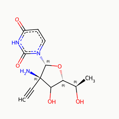 C#C[C@@]1(N)C(O)[C@@H]([C@@H](C)O)O[C@H]1n1ccc(=O)[nH]c1=O